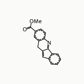 COC(=O)c1ccc2c(c1)CC1=Cc3ccccc3C1=N2